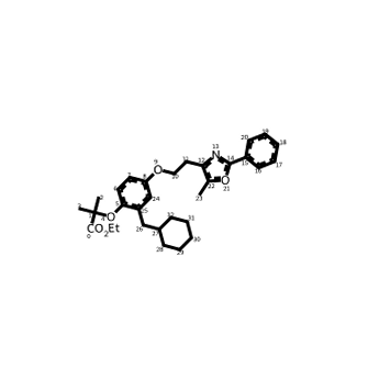 CCOC(=O)C(C)(C)Oc1ccc(OCCc2nc(-c3ccccc3)oc2C)cc1CC1CCCCC1